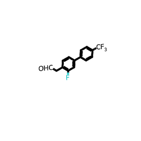 O=CCc1ccc(-c2ccc(C(F)(F)F)cc2)cc1F